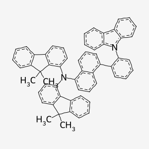 CC1(C)c2ccccc2-c2c(N(c3cccc4c3C(C)(C)c3ccccc3-4)c3cccc4c(-c5ccccc5-n5c6ccccc6c6ccccc65)cccc34)cccc21